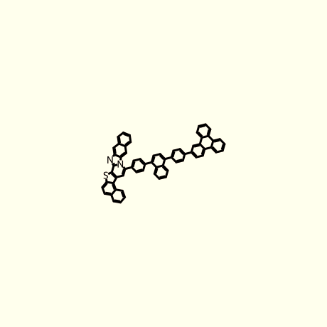 c1ccc2cc3c(cc2c1)nc1c2sc4ccc5ccccc5c4c2cc(-c2ccc(-c4ccc(-c5ccc(-c6ccc7c8ccccc8c8ccccc8c7c6)cc5)c5ccccc45)cc2)n31